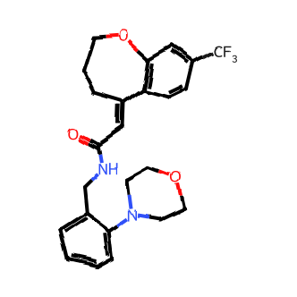 O=C(/C=C1\CCCOc2cc(C(F)(F)F)ccc21)NCc1ccccc1N1CCOCC1